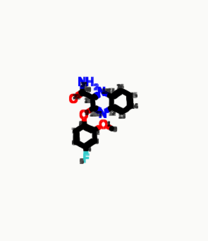 COc1cc(F)ccc1Oc1nc2ccccc2nc1C(N)=O